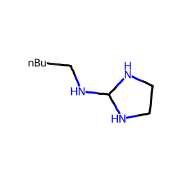 CCCCCNC1NCCN1